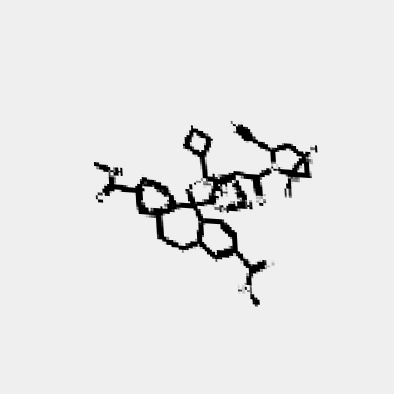 CNC(=O)C1=CC2CCc3cc(C(=O)NC)ccc3C(C[C@@H](NCC(=O)N3C(C#N)C[C@@H]4C[C@@H]43)C3CCC3)(c3nnn[nH]3)C2C=C1